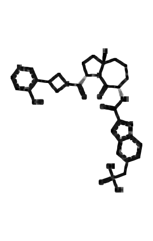 O=Cc1ccncc1C1CN(C(=O)[C@@H]2CC[C@@H]3CCC[C@H](NC(=O)c4cc5cc(CP(=O)(O)O)ccc5s4)C(=O)N32)C1